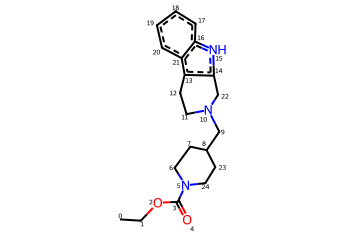 CCOC(=O)N1CCC(CN2CCc3c([nH]c4ccccc34)C2)CC1